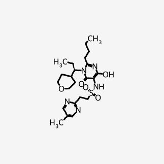 CCCCc1nc(O)c(NS(=O)(=O)CCc2ncc(C)cn2)c(=O)n1[C@H](CC)C1CCOCC1